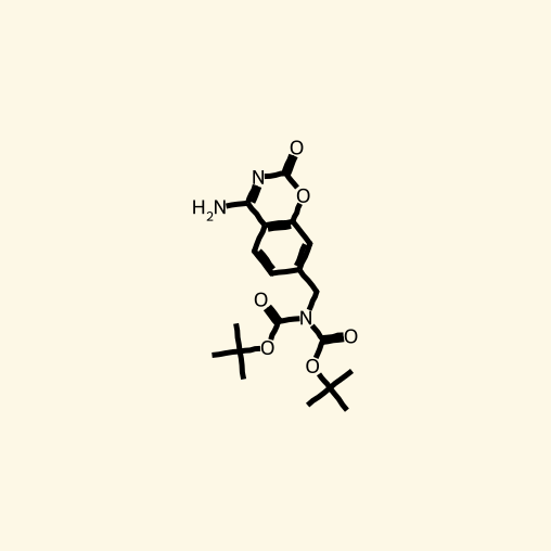 CC(C)(C)OC(=O)N(Cc1ccc2c(N)nc(=O)oc2c1)C(=O)OC(C)(C)C